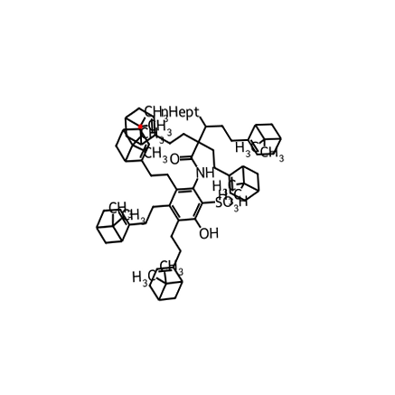 CCCCCCCC(CCC1=CCC2CC1C2(C)C)C(CCC1=CCC2CC1C2(C)C)(CCC1=CCC2CC1C2(C)C)C(=O)Nc1c(CCC2=CCC3CC2C3(C)C)c(CCC2=CCC3CC2C3(C)C)c(CCC2=CCC3CC2C3(C)C)c(O)c1S(=O)(=O)O